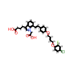 O=C(O)CCCc1cn(CC(=O)O)c2c(C=Cc3ccc(OCC=CCOc4ccc(Cl)cc4F)cc3)cccc12